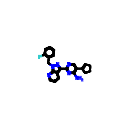 Nc1nc(-c2nn(Cc3ccccc3F)c3ncccc23)ncc1C1=CCCC1